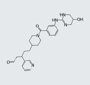 O=CCC(CCC1CCN(C(=O)c2cccc(NC3=NCC(O)CN3)c2)CC1)c1cccnc1